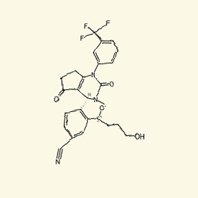 CN1C(=O)N(c2cccc(C(F)(F)F)c2)C2=C(C(=O)CC2)[C@H]1c1ccc(C#N)cc1[S+]([O-])CCCO